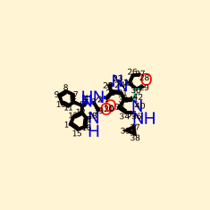 O=C(N[C@H]1N=C(c2ccccc2)c2ccccc2NC1=O)c1cnn(C2CCOCC2)c1-c1ccc(NC2CC2)nc1F